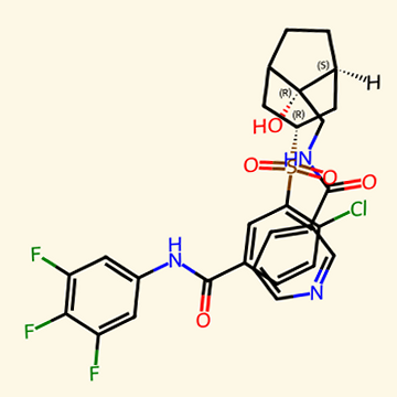 O=C(NC[C@@]1(O)C2CC[C@H]1C[C@H](S(=O)(=O)c1cc(C(=O)Nc3cc(F)c(F)c(F)c3)ccc1Cl)C2)c1cccnc1